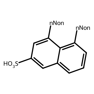 CCCCCCCCCc1cccc2cc(S(=O)(=O)O)cc(CCCCCCCCC)c12